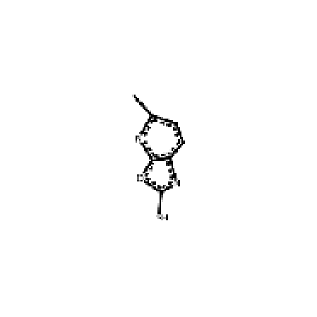 Cc1ccc2nc(S)oc2n1